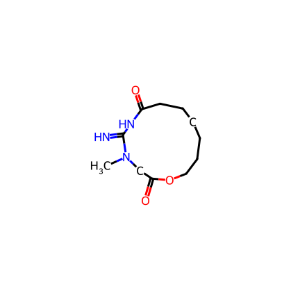 CN1CC(=O)OCCCCCCC(=O)NC1=N